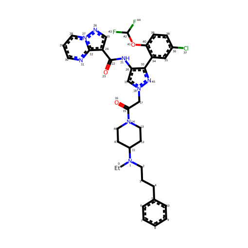 CCN(CCCc1ccccc1)C1CCN(C(=O)Cn2cc(NC(=O)c3cnn4cccnc34)c(-c3cc(Cl)ccc3OC(F)F)n2)CC1